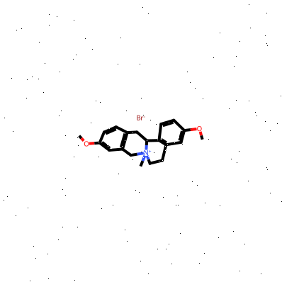 COc1ccc2c(c1)C[N+]1(C)CCc3cc(OC)ccc3C1C2.[Br-]